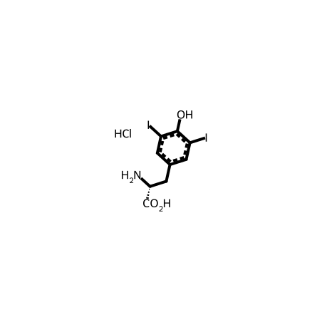 Cl.N[C@H](Cc1cc(I)c(O)c(I)c1)C(=O)O